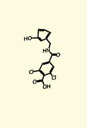 O=C(NCc1cccc(O)c1)c1cc(Cl)c(C(=O)O)c(Cl)c1